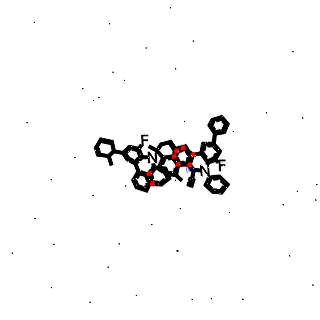 C#C/C(=c1/ccc2c3c(ccc(C)c13)C(C)(N(c1ccccc1)c1c(F)cc(C3C=CC=CC3C)cc1-c1ccccc1)CC=2)N(c1ccccc1)c1c(F)cc(-c2ccccc2)cc1-c1ccccc1